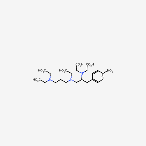 O=C(O)CN(CCCN(CC(=O)O)CC(Cc1ccc([N+](=O)[O-])cc1)N(CC(=O)O)CC(=O)O)CC(=O)O